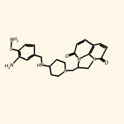 NSc1ccc(CNC2CCN(CC3Cn4c(=O)ccc5ccc(=O)n3c54)CC2)cc1N